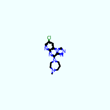 CN1CCCN(c2nc3ncc(Cl)cc3n3cnnc23)CC1